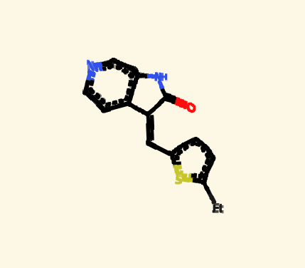 CCc1ccc(C=C2C(=O)Nc3cnccc32)s1